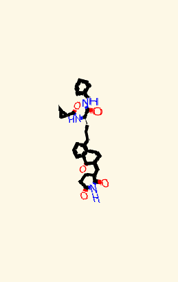 O=C1CCC(CC2CCc3c(CCC[C@H](NC(=O)C4CC4)C(=O)NCc4ccccc4)cccc3C2=O)C(=O)N1